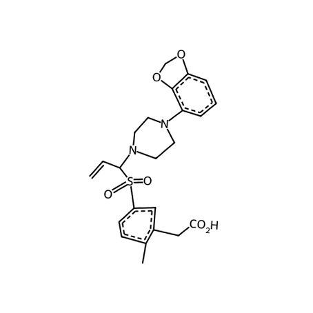 C=CC(N1CCN(c2cccc3c2OCO3)CC1)S(=O)(=O)c1ccc(C)c(CC(=O)O)c1